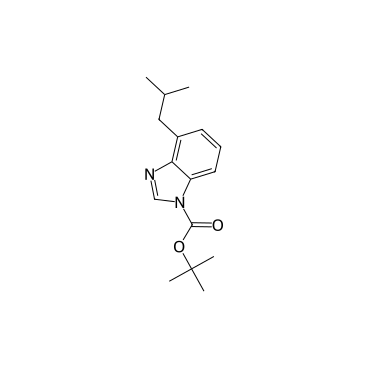 CC(C)Cc1cccc2c1ncn2C(=O)OC(C)(C)C